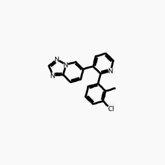 Cc1c(Cl)cccc1-c1ncccc1-c1ccc2ncnn2c1